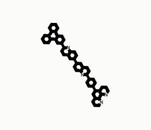 c1cnc2c(c1)cc(-c1ccc(-c3ccc4cc(-c5ccc6nc(-c7ccc8c9ccccc9c9ccccc9c8c7)ccc6c5)ccc4n3)cc1)c1cccnc12